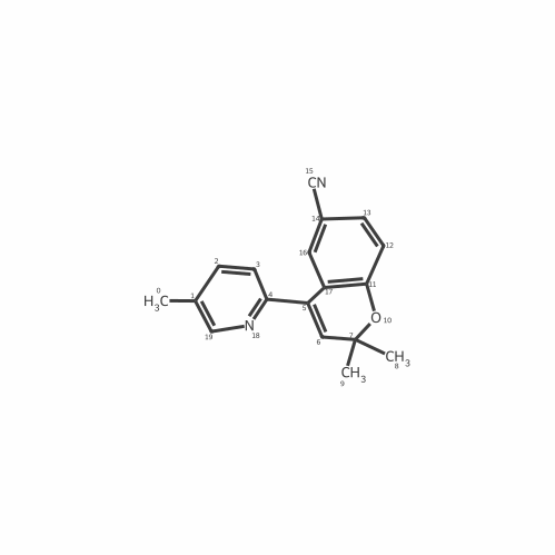 Cc1ccc(C2=CC(C)(C)Oc3ccc(C#N)cc32)nc1